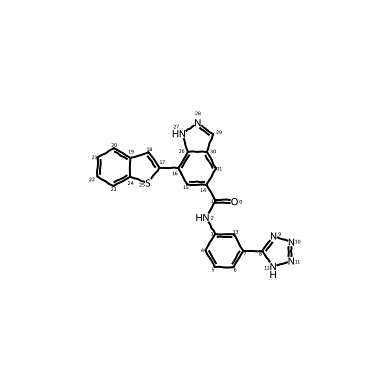 O=C(Nc1cccc(-c2nnn[nH]2)c1)c1cc(-c2cc3ccccc3s2)c2[nH]ncc2c1